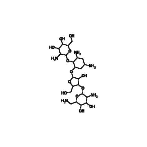 NCC1OC(OC2C(CO)OC(OC3CC(N)CC(N)C3OC3OC(CO)C(O)C(O)C3N)C2O)C(N)C(O)C1O